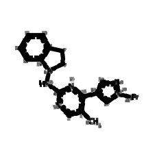 Cc1cnc(NN2CCc3ccccc32)nc1-c1cnn(C(C)C)c1